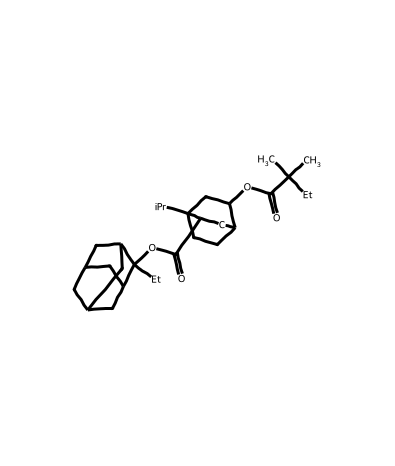 CCC(C)(C)C(=O)OC1CC2(C(C)C)CCC1CC2C(=O)OC1(CC)C2CC3CC(C2)CC1C3